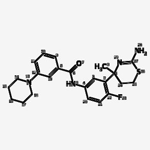 CC1(c2cc(NC(=O)c3cccc(N4CCCCC4)c3)ccc2F)CCSC(N)=N1